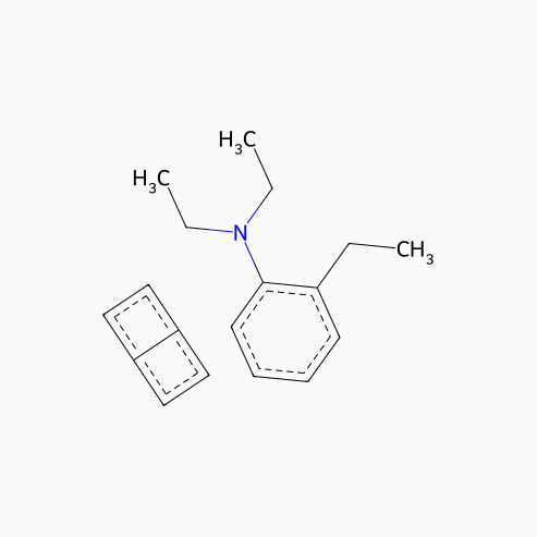 CCc1ccccc1N(CC)CC.c1cc2ccc1-2